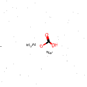 O=C([O-])O.[AlH3].[Na+]